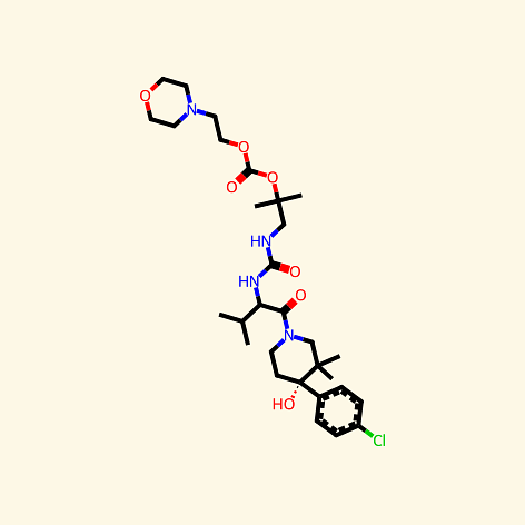 CC(C)C(NC(=O)NCC(C)(C)OC(=O)OCCN1CCOCC1)C(=O)N1CC[C@](O)(c2ccc(Cl)cc2)C(C)(C)C1